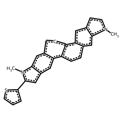 Cn1ccc2cc3c(ccc4c5cc6cc(-c7cccs7)n(C)c6cc5ccc34)cc21